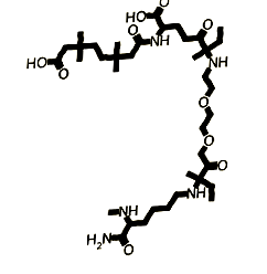 CCC(C)(NCCOCCOCC(=O)C(C)(CC)NCCCCC(NC)C(N)=O)C(=O)CCC(NC(=O)CC(C)(C)CCC(C)(C)CC(=O)O)C(=O)O